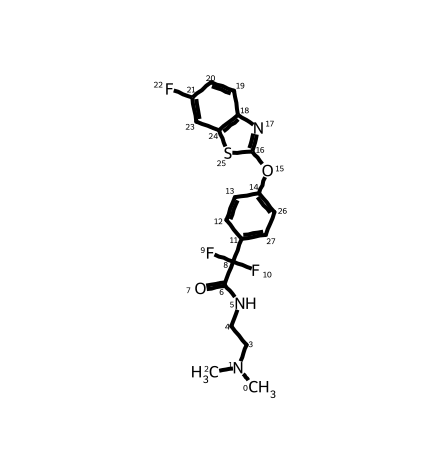 CN(C)CCNC(=O)C(F)(F)c1ccc(Oc2nc3ccc(F)cc3s2)cc1